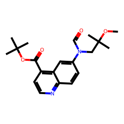 COC(C)(C)CN(C=O)c1ccc2nccc(C(=O)OC(C)(C)C)c2c1